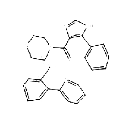 O=C(c1nc[nH]c1-c1ccccc1)N1CCNC[C@H]1Cc1ccccc1-c1ccccn1